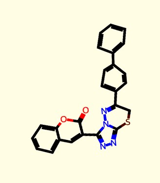 O=c1oc2ccccc2cc1-c1nnc2n1N=C(c1ccc(-c3ccccc3)cc1)CS2